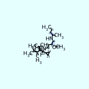 CC/C=C(\C)N/C=C(\CCNC(F)(C(=C(C)C)C(C)=C(C)C)C1CC1)OC